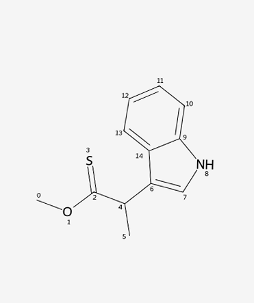 COC(=S)C(C)c1c[nH]c2ccccc12